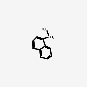 C[SiH2]c1cccc2ccccc12